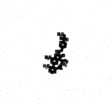 CCS(=O)(=O)c1ccc(CNc2nc3c(C)nc(-c4c(C)ncnc4C4CC4)nc3n([C@@H](C)CF)c2=O)cn1